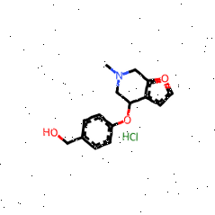 CN1Cc2occc2C(Oc2ccc(CO)cc2)C1.Cl